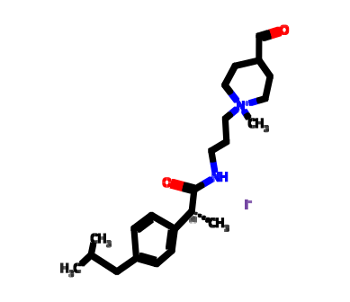 CC(C)Cc1ccc([C@@H](C)C(=O)NCCC[N+]2(C)CCC(C=O)CC2)cc1.[I-]